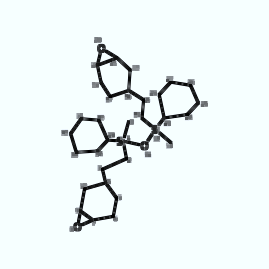 C[Si](CCC1CCC2OC2C1)(O[Si](C)(CCC1CCC2OC2C1)C1CCCCC1)C1CCCCC1